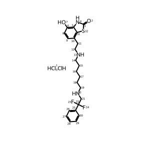 Cl.Cl.O=c1[nH]c2c(O)ccc(CCNCCCCCCNCC(F)(F)c3ccccc3)c2s1